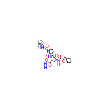 CNC(=O)C(=O)CC[C@H](NC(=O)c1oc2ccccc2c1C)C(=O)Nc1cccn(CC(=O)NC2CC3CC[C@]2(C)C3(C)C)c1=O